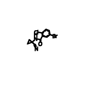 N#CC1(NC(=O)c2cc(Br)ccc2Cl)CC1